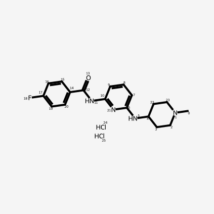 CN1CCC(Nc2cccc(NC(=O)c3ccc(F)cc3)n2)CC1.Cl.Cl